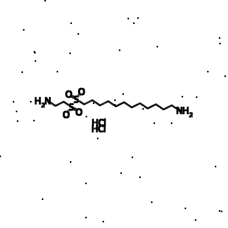 Cl.Cl.NCCCCCCCCCCCCS(=O)(=O)S(=O)(=O)CCN